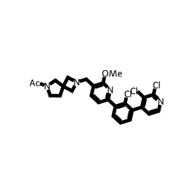 COc1nc(-c2cccc(-c3ccnc(Cl)c3Cl)c2Cl)ccc1CN1CC2(CCN(C(C)=O)C2)C1